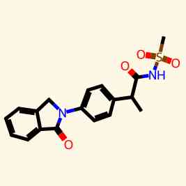 CC(C(=O)NS(C)(=O)=O)c1ccc(N2Cc3ccccc3C2=O)cc1